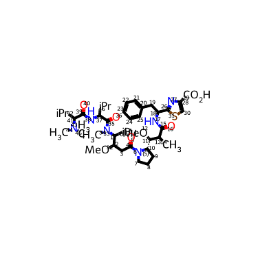 CCC(C)C(C(CC(=O)N1CCC[C@H]1C(OC)C(C)C(=O)NC(Cc1ccccc1)c1nc(C(=O)O)cs1)OC)N(C)C(=O)C(NC(=O)C(C(C)C)N(C)C)C(C)C